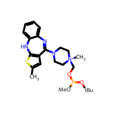 COP(OC[N+]1(C)CCN(C2=Nc3ccccc3Nc3sc(C)cc32)CC1)OC(C)(C)C